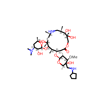 CO[C@@H]1C[C@H](O[C@@H]2[C@@H](C)[C@@H](O[C@@H]3O[C@H](C)C[C@H](N(C)C)[C@H]3O)[C@](C)(O)C[C@@H](C)NC[C@@H](C)[C@H](O)[C@](C)(O)COC(=O)[C@@H]2C)O[C@@H](C)[C@@]1(O)CNC1CCCC1